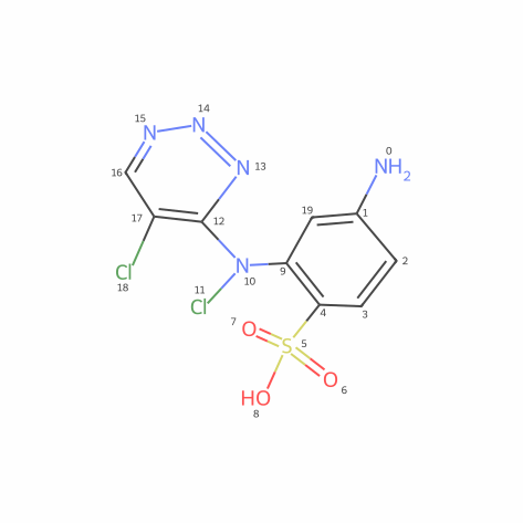 Nc1ccc(S(=O)(=O)O)c(N(Cl)c2nnncc2Cl)c1